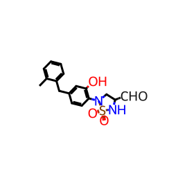 Cc1ccccc1Cc1ccc(N2CC(C=O)NS2(=O)=O)c(O)c1